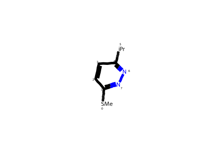 CSc1ccc(C(C)C)nn1